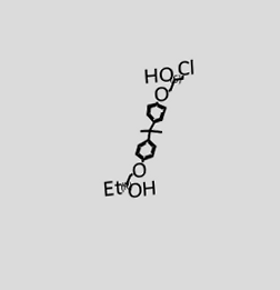 CC[C@@H](O)COc1ccc(C(C)(C)c2ccc(OC[C@H](O)CCl)cc2)cc1